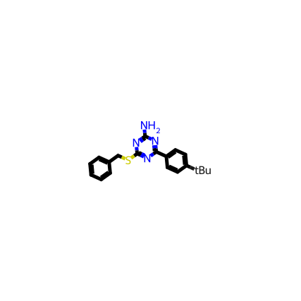 CC(C)(C)c1ccc(-c2nc(N)nc(SCc3ccccc3)n2)cc1